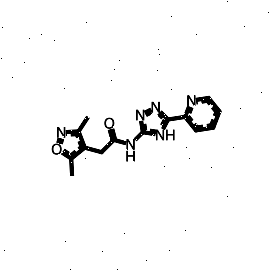 Cc1noc(C)c1CC(=O)Nc1nnc(-c2ccccn2)[nH]1